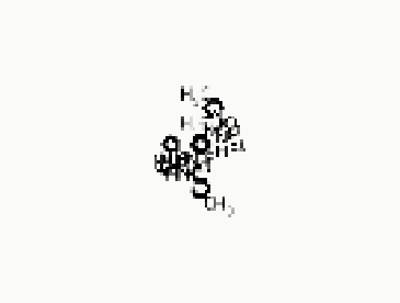 CCC(=O)N[C@@H](C(=O)N1CCC(C)CC1)N(C)c1ccc(NC(=O)[C@@H](NC(=O)c2ccnn2C2CCCC2)[C@H]2CC[C@H](C)CC2)c(F)c1